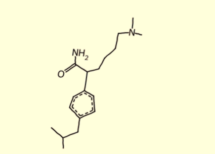 CC(C)Cc1ccc(C(CCCCN(C)C)C(N)=O)cc1